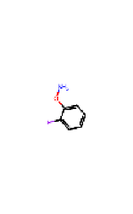 NOc1ccccc1I